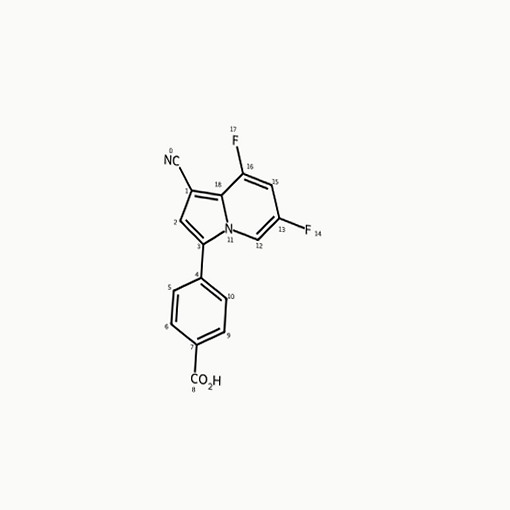 N#Cc1cc(-c2ccc(C(=O)O)cc2)n2cc(F)cc(F)c12